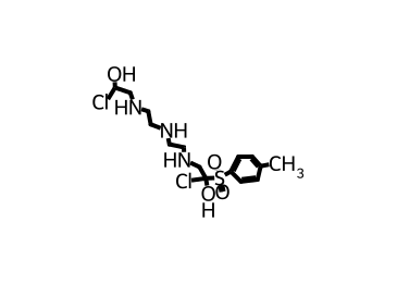 Cc1ccc(S(=O)(=O)C(O)(Cl)CNCCNCCNCC(O)Cl)cc1